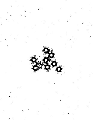 c1ccc(-c2ccc(-n3c4ccc5oc6ccccc6c5c4c4ccc5c(c6ccccc6n5-c5nc(-c6ccccc6)c6ccccc6n5)c43)cc2)cc1